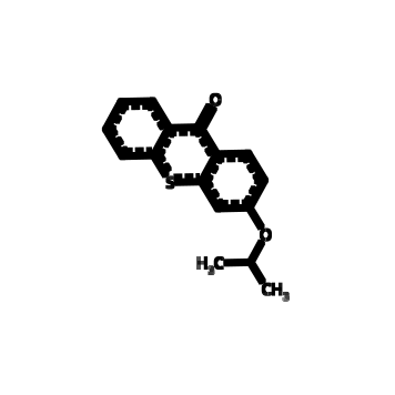 CC(C)Oc1ccc2c(=O)c3ccccc3sc2c1